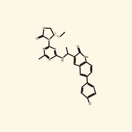 CC[C@H]1COC(=O)N1c1nc(C)nc(NC(C)c2cc3cc(-c4ccc(Cl)cc4)ccc3[nH]c2=O)n1